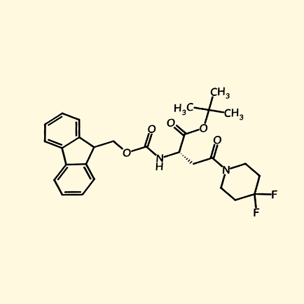 CC(C)(C)OC(=O)[C@H](CC(=O)N1CCC(F)(F)CC1)NC(=O)OCC1c2ccccc2-c2ccccc21